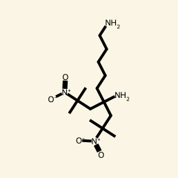 CC(C)(CC(N)(CCCCCN)CC(C)(C)[N+](=O)[O-])[N+](=O)[O-]